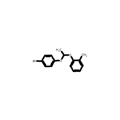 Cc1ccccc1OC(C)Oc1ccc(C(C)C)cc1